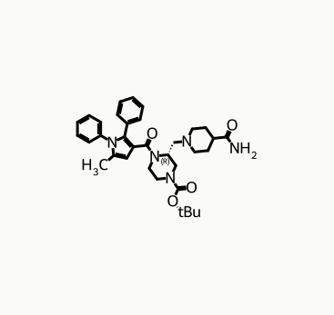 Cc1cc(C(=O)N2CCN(C(=O)OC(C)(C)C)C[C@H]2CN2CCC(C(N)=O)CC2)c(-c2ccccc2)n1-c1ccccc1